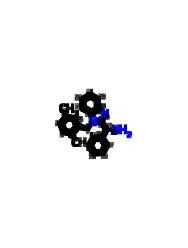 Cc1ccc(C)c(Cn2c([C@@H](N)c3ccccc3)nc3ccccc32)c1